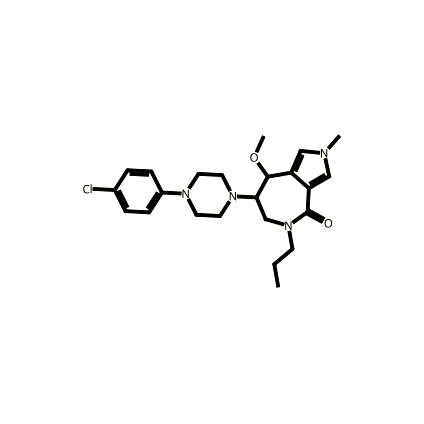 CCCN1CC(N2CCN(c3ccc(Cl)cc3)CC2)C(OC)c2cn(C)cc2C1=O